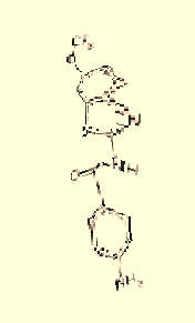 Nc1ccc(C(=O)Nc2nc3ccc(OC(F)(F)F)cc3s2)cc1